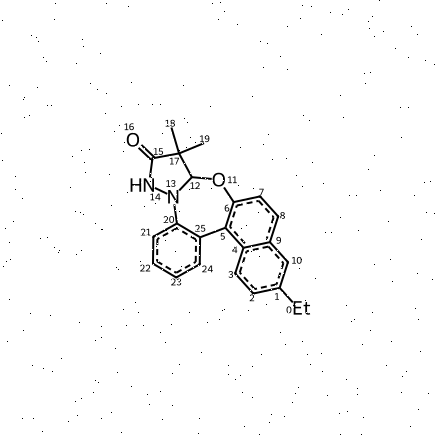 CCc1ccc2c3c(ccc2c1)OC1N(NC(=O)C1(C)C)c1ccccc1-3